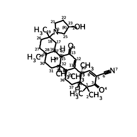 CC1(C)C(=O)C(C#N)=C[C@]2(C)C3=CC(=O)[C@@H]4[C@@H]5CC(C)(N6CC[C@@H](O)C6)CC[C@]5(C)CC[C@@]4(C)[C@]3(C)CC[C@@H]12